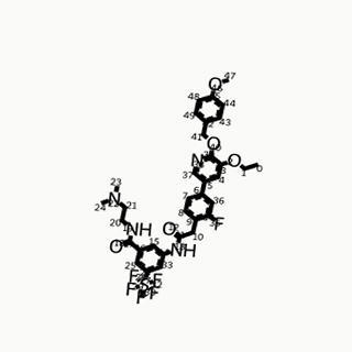 CCOc1cc(-c2ccc(CC(=O)Nc3cc(C(=O)NCCN(C)C)cc(S(F)(F)(F)(F)F)c3)c(F)c2)cnc1OCc1ccc(OC)cc1